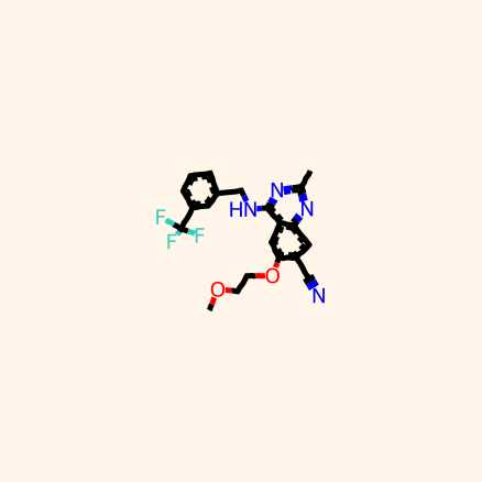 COCCOc1cc2c(NCc3cccc(C(F)(F)F)c3)nc(C)nc2cc1C#N